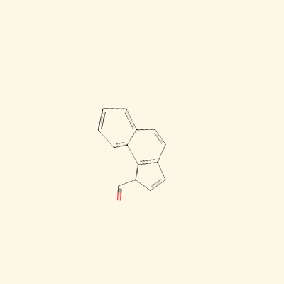 O=CC1C=Cc2ccc3ccccc3c21